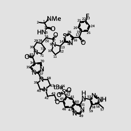 CNC(C)C(=O)N[C@H](C(=O)N1CCCC1c1nc(C(=O)c2ccc(F)cc2)cs1)C1CCN(C(=O)c2cnc(N3CCN(CCOc4cc5ncnc(Nc6n[nH]c(C)c6C)c5cc4S(=O)(=O)C(C)(C)C)CC3)nc2)CC1